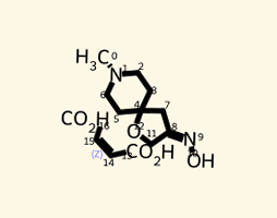 CN1CCC2(CC1)CC(=NO)CO2.O=C(O)/C=C\C(=O)O